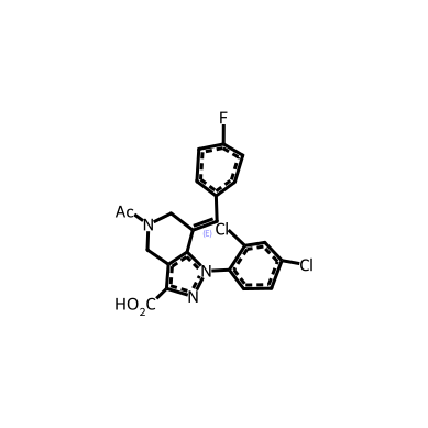 CC(=O)N1C/C(=C\c2ccc(F)cc2)c2c(c(C(=O)O)nn2-c2ccc(Cl)cc2Cl)C1